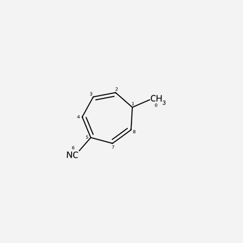 CC1C=CC=C(C#N)C=C1